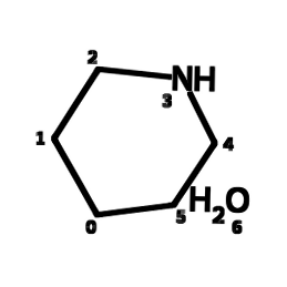 C1CCNCC1.O